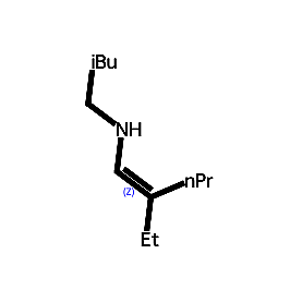 CCC/C(=C\NCC(C)CC)CC